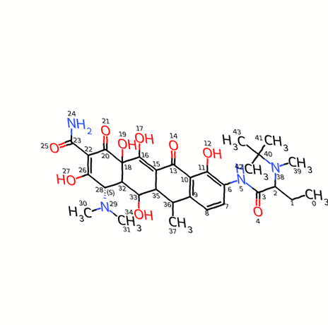 CCC(C(=O)Nc1ccc2c(c1O)C(=O)C1=C(O)C3(O)C(=O)C(C(N)=O)=C(O)[C@@H](N(C)C)C3C(O)C1C2C)N(C)C(C)(C)C